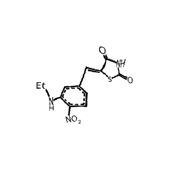 CCNc1cc(/C=C2\SC(=O)NC2=O)ccc1[N+](=O)[O-]